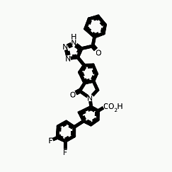 O=C(O)c1ccc(-c2ccc(F)c(F)c2)cc1N1Cc2ccc(-c3nn[nH]c3C(=O)c3ccccc3)cc2C1=O